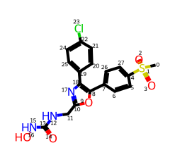 CS(=O)(=O)c1ccc(-c2oc(CNC(=O)NO)nc2-c2ccc(Cl)cc2)cc1